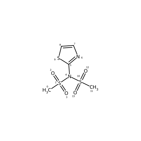 CS(=O)(=O)N(c1nccs1)S(C)(=O)=O